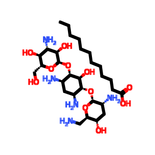 CCCCCCCCCCCC(=O)O.NC[C@H]1O[C@H](O[C@H]2[C@H](O)[C@@H](O[C@H]3O[C@H](CO)[C@@H](O)[C@H](N)[C@H]3O)[C@H](N)C[C@@H]2N)[C@H](N)C[C@@H]1O